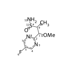 COC(c1ncc(F)cn1)C(C)[S+](N)[O-]